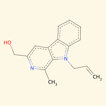 C=CCn1c2ccccc2c2cc(CO)nc(C)c21